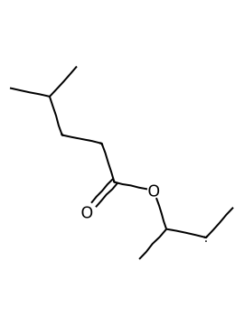 C[CH]C(C)OC(=O)CCC(C)C